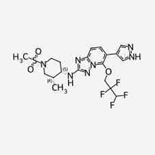 C[C@@H]1CN(S(C)(=O)=O)CC[C@@H]1Nc1nc2ccc(-c3cn[nH]c3)c(OCC(F)(F)C(F)F)n2n1